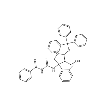 O=C(NC(=S)NC1(c2ccccc2F)COC(OC(c2ccccc2)(c2ccccc2)c2ccccc2)C1CO)c1ccccc1